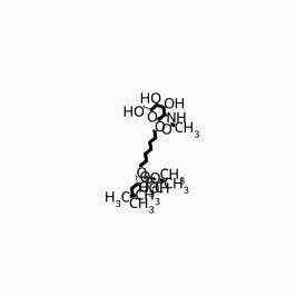 CC(=O)N[C@H]1[C@H](OCCCCCCCOC[C@@H](CC(C)(C)C)OP(=O)(O)OC(C)(C)C)O[C@H](CO)[C@H](O)[C@@H]1O